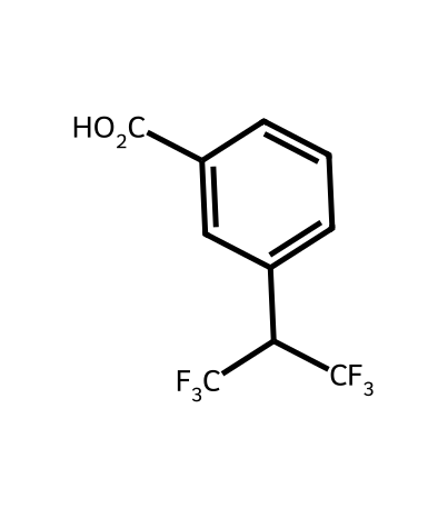 O=C(O)c1cccc(C(C(F)(F)F)C(F)(F)F)c1